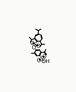 C=C(C)c1cc(OS(=O)(=O)C2=C(C(C)C)C=C(C(C)C)C=CC2C(C)C)c(C)cc1S(=O)(=O)O